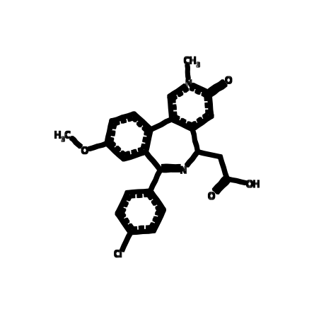 COc1ccc2c(c1)C(c1ccc(Cl)cc1)=NC(CC(=O)O)c1cc(=O)n(C)cc1-2